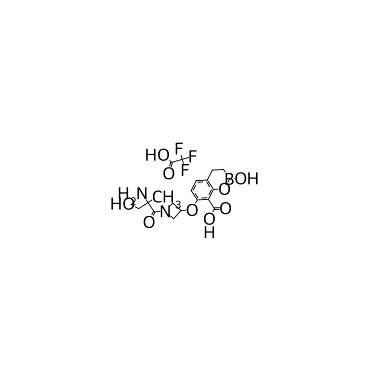 CC(N)(CO)C(=O)N1CC(Oc2ccc3c(c2C(=O)O)OB(O)CC3)C1.O=C(O)C(F)(F)F